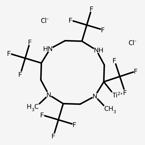 CN1CC(C(F)(F)F)NCC(C(F)(F)F)NC[C]([Ti+2])(C(F)(F)F)N(C)CC1C(F)(F)F.[Cl-].[Cl-]